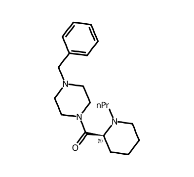 CCCN1CCCC[C@H]1C(=O)N1CCN(Cc2ccccc2)CC1